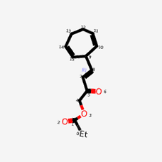 CCC(=O)OCC(=O)/C=C/C1C=CCCC=C1